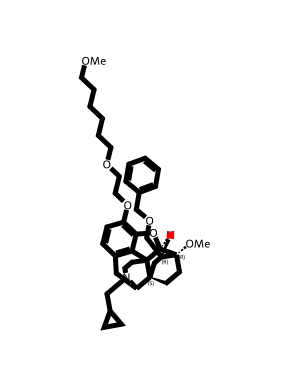 COCCCCCCOCCOc1ccc2c3c1O[C@@H]1C34CCN(CC3CC3)C(C2)[C@]42CC[C@@]1(OC)[C@@H](COCc1ccccc1)C2